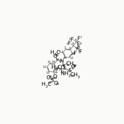 Cc1cc(C(F)(C(F)(F)F)C(F)(F)F)ccc1N(C(=O)c1cccc(OS(C)(=O)=O)c1C(N)=O)C(C)(C)C[S+](C)[O-]